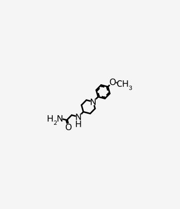 COc1ccc(N2CCC(NCC(N)=O)CC2)cc1